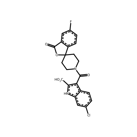 O=C1OC2(CCN(C(=O)c3c(C(=O)O)[nH]c4cc(Cl)ccc34)CC2)c2ccc(F)cc21